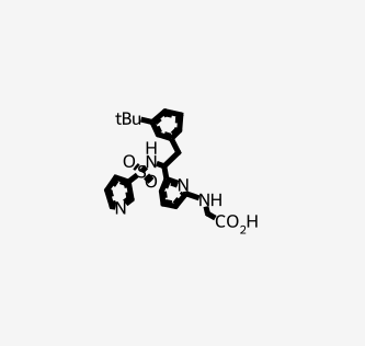 CC(C)(C)c1cccc(CC(NS(=O)(=O)c2cccnc2)c2cccc(NCC(=O)O)n2)c1